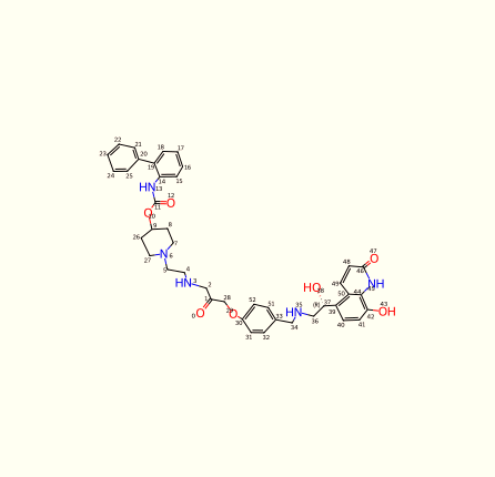 O=C(CNCCN1CCC(OC(=O)Nc2ccccc2-c2ccccc2)CC1)COc1ccc(CNC[C@H](O)c2ccc(O)c3[nH]c(=O)ccc23)cc1